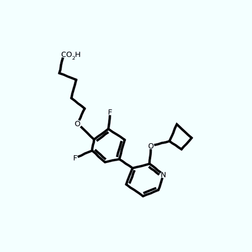 O=C(O)CCCCOc1c(F)cc(-c2cccnc2OC2CCC2)cc1F